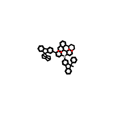 CC1(c2ccccc2)c2ccccc2-c2ccc(N(c3ccc(-c4ccc5c(c4)C4(c6ccccc6-5)C5CC6CC5CC64)cc3)c3ccccc3-c3cccc4cccc(C5CCCCC5)c34)cc21